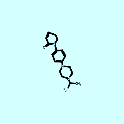 CC(C)N1CCN(c2ccc(N3CCC=CC3=O)cc2)CC1